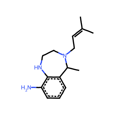 CC(C)=CCN1CCNc2c(N)cccc2C1C